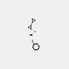 Cl.NN(C(=O)OCc1ccccc1)C1CC1C1CC1